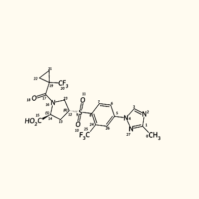 Cc1ncn(-c2ccc(S(=O)(=O)[C@@H]3C[C@@H](C(=O)O)N(C(=O)C4(C(F)(F)F)CC4)C3)c(C(F)(F)F)c2)n1